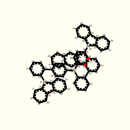 c1ccc(N(c2ccc(-c3ccccc3-n3c4ccccc4c4ccccc43)cc2)c2ccc(-n3c4ccccc4c4ccccc43)cc2)c(-c2cccc3oc4cc5ccccc5cc4c23)c1